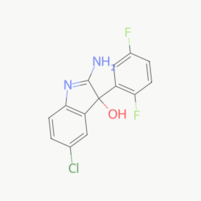 NC1=Nc2ccc(Cl)cc2C1(O)c1cc(F)ccc1F